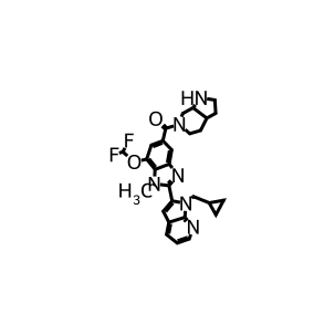 Cn1c(-c2cc3cccnc3n2CC2CC2)nc2cc(C(=O)N3CCC4CCNC4C3)cc(OC(F)F)c21